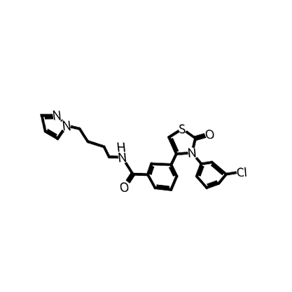 O=C(NCCCCn1cccn1)c1cccc(-c2csc(=O)n2-c2cccc(Cl)c2)c1